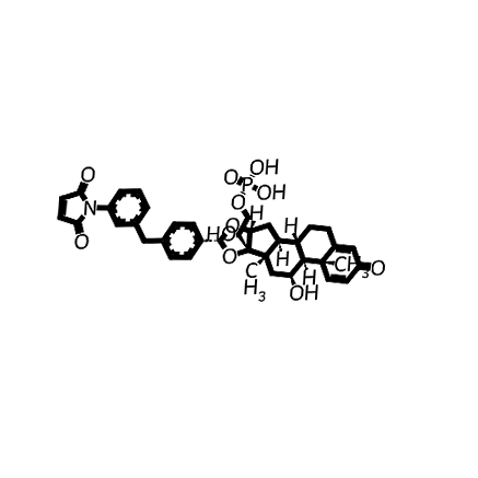 C[C@]12C=CC(=O)C=C1CC[C@@H]1[C@@H]2[C@@H](O)C[C@@]2(C)[C@H]1C[C@H]1O[C@@H](c3ccc(Cc4cccc(N5C(=O)C=CC5=O)c4)cc3)O[C@]12C(O)COP(=O)(O)O